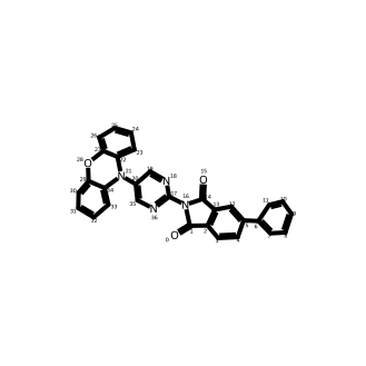 O=C1c2ccc(-c3ccccc3)cc2C(=O)N1c1ncc(N2c3ccccc3Oc3ccccc32)cn1